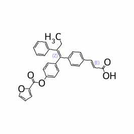 CC/C(=C(\c1ccc(/C=C/C(=O)O)cc1)c1ccc(OC(=O)c2ccco2)cc1)c1ccccc1